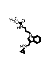 COC(=O)NCCCn1cc(CNC2CC2)c2ccccc21